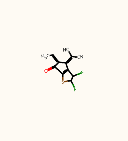 C/C=C1\C(=O)C2=C(C1=C(C#N)C#N)C(F)C(F)S2